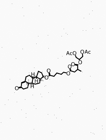 CC(=O)OCC(COC(C)=O)OC(=O)C(C)CC(=O)OCCCCC(=O)O[C@H]1CC[C@H]2[C@@H]3CCC4=CC(=O)CC[C@]4(C)[C@H]3CC[C@]12C